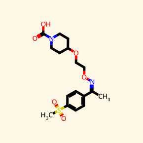 C/C(=N/OCCOC1CCN(C(=O)O)CC1)c1ccc(S(C)(=O)=O)cc1